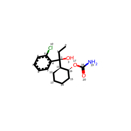 CC[C@@](O)(c1ccccc1Cl)[C@@H]1CCCC[C@H]1OC(N)=O